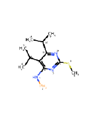 CSc1nc(NP)c(C(C)C)c(C(C)C)n1